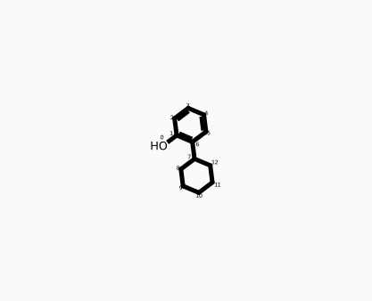 Oc1ccc[c]c1C1CCCCC1